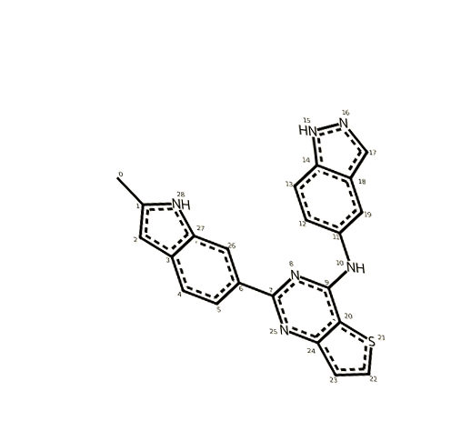 Cc1cc2ccc(-c3nc(Nc4ccc5[nH]ncc5c4)c4sccc4n3)cc2[nH]1